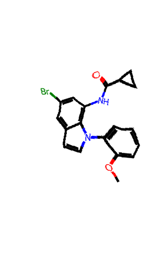 COc1ccccc1-n1ccc2cc(Br)cc(NC(=O)C3CC3)c21